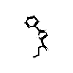 [CH2]CCC(=O)c1cnc(-c2ccccc2)s1